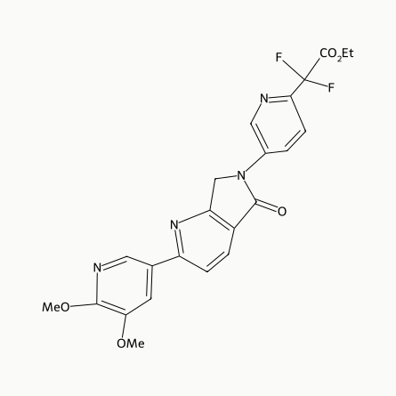 CCOC(=O)C(F)(F)c1ccc(N2Cc3nc(-c4cnc(OC)c(OC)c4)ccc3C2=O)cn1